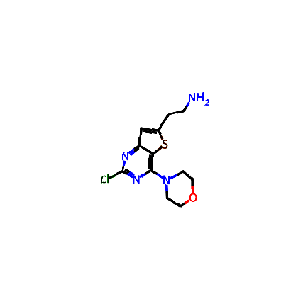 NCCc1cc2nc(Cl)nc(N3CCOCC3)c2s1